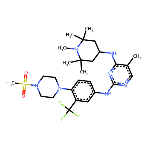 Cc1cnc(Nc2ccc(N3CCN(S(C)(=O)=O)CC3)c(C(F)(F)F)c2)nc1NC1CC(C)(C)N(C)C(C)(C)C1